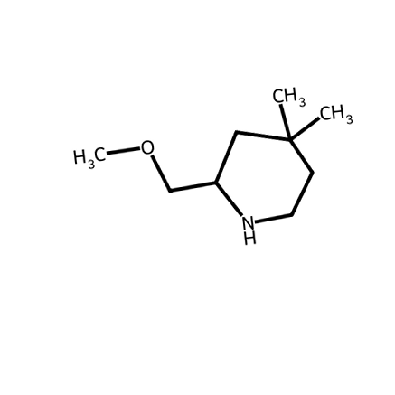 COCC1CC(C)(C)CCN1